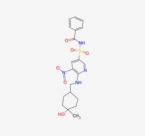 CC1(O)CCC(CNc2ncc(S(=O)(=O)NC(=O)c3ccccc3)cc2[N+](=O)[O-])CC1